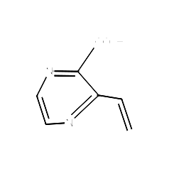 C=Cc1nccnc1C(=O)O